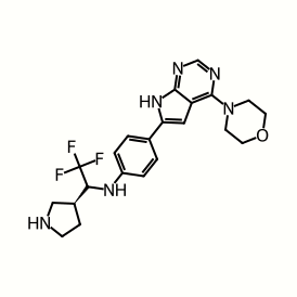 FC(F)(F)C(Nc1ccc(-c2cc3c(N4CCOCC4)ncnc3[nH]2)cc1)[C@H]1CCNC1